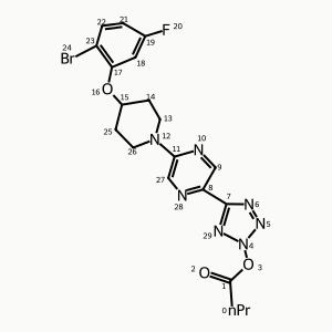 CCCC(=O)On1nnc(-c2cnc(N3CCC(Oc4cc(F)ccc4Br)CC3)cn2)n1